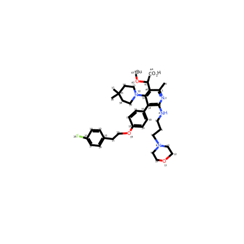 Cc1nc(NCCCN2CCOCC2)c(-c2ccc(OCCc3ccc(F)cc3)cc2)c(N2CCC(C)(C)CC2)c1C(OC(C)(C)C)C(=O)O